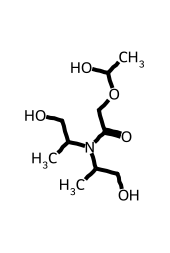 CC(O)OCC(=O)N(C(C)CO)C(C)CO